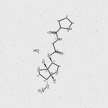 Cl.O=C(CNC(=O)C1CSCN1)O[C@H]1CO[C@H]2[C@@H]1OC[C@H]2O[N+](=O)[O-]